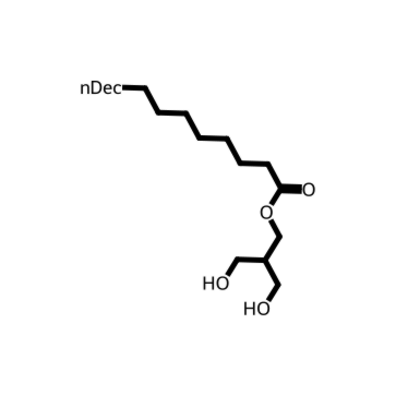 CCCCCCCCCCCCCCCCCC(=O)OCC(CO)CO